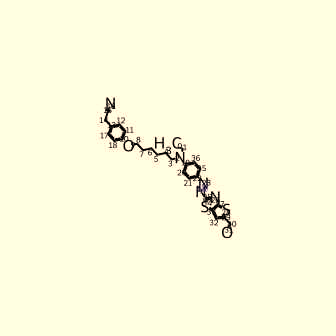 CCN(CCCCCCOc1ccc(CC#N)cc1)c1ccc(/N=N/c2nc3sc(C=O)cc3s2)cc1